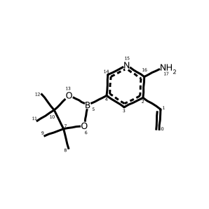 C=Cc1cc(B2OC(C)(C)C(C)(C)O2)cnc1N